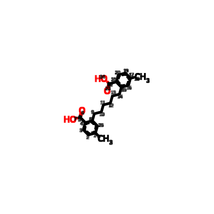 Cc1ccc(C(=O)O)c(CCCCCCc2cc(C)ccc2C(=O)O)c1